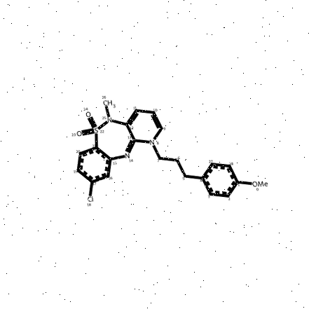 COc1ccc(CCCN2C=CC=C3C2=Nc2cc(Cl)ccc2S(=O)(=O)N3C)cc1